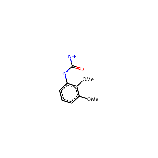 COc1cccc([N]C([NH])=O)c1OC